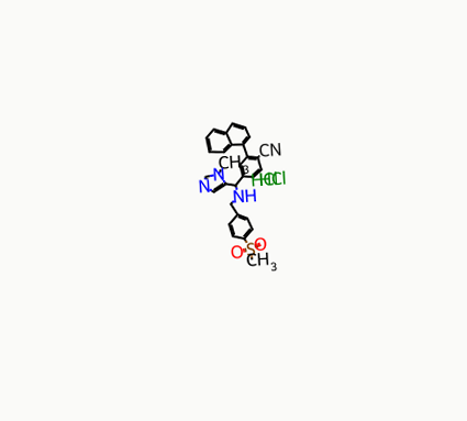 Cl.Cl.Cn1cncc1C(NCc1ccc(S(C)(=O)=O)cc1)c1ccc(C#N)c(-c2cccc3ccccc23)c1